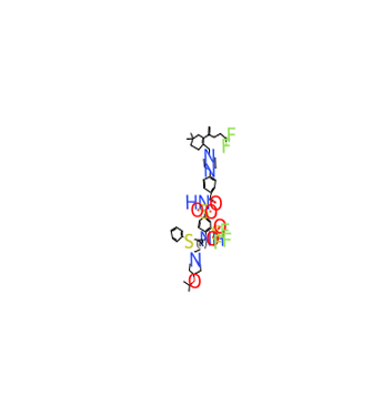 C=C(CCC(F)F)C1=C(CN2CCN(c3ccc(C(=O)NS(=O)(=O)c4ccc(N[C@H](CCN5CCC(OC(C)C)CC5)CSc5ccccc5)c(S(=O)(=O)C(F)(F)F)c4)cc3)CC2)CCC(C)(C)C1